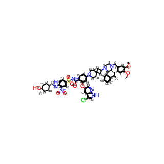 COc1ccc(CN2CCN(C3CC4(CCN(c5ccc(C(=O)NS(=O)(=O)c6ccc(NC[C@H]7CC[C@](C)(O)CC7)c([N+](=O)[O-])c6)c(Oc6cnc7[nH]cc(Cl)c7c6)c5)CC4)C3)[C@H](c3ccccc3C(C)C)C2)cc1OC